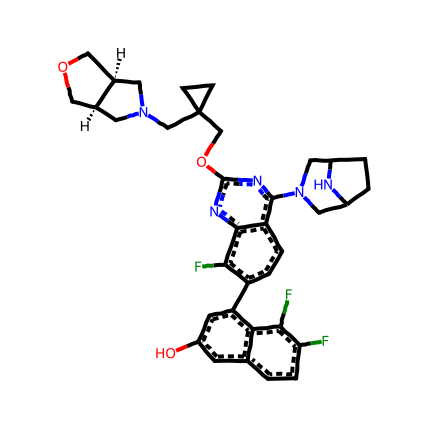 Oc1cc(-c2ccc3c(N4CC5CCC(C4)N5)nc(OCC4(CN5C[C@H]6COC[C@H]6C5)CC4)nc3c2F)c2c(F)c(F)ccc2c1